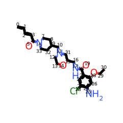 C=C/C=C/C(=O)N1CCC(CN2CCOC(CNC(=O)c3cc(Cl)c(N)cc3OCC)C2)CC1